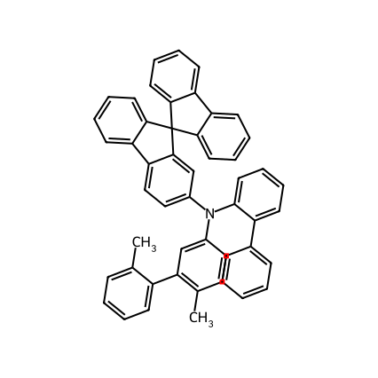 Cc1ccccc1-c1cc(N(c2ccc3c(c2)C2(c4ccccc4-c4ccccc42)c2ccccc2-3)c2ccccc2-c2ccccc2)ccc1C